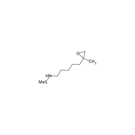 CSNCCCCCC1(C)CO1